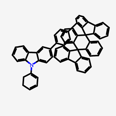 C1=CCCC(n2c3ccccc3c3cc(-c4ccc(-c5cccc6c5C5(c7ccccc7-6)c6ccccc6C6(c7ccccc7-c7ccccc76)c6ccccc65)cc4)ccc32)=C1